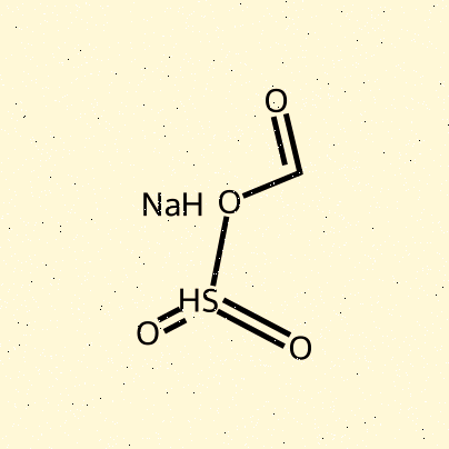 O=CO[SH](=O)=O.[NaH]